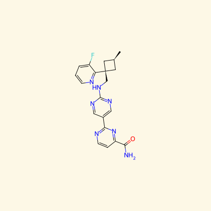 C[C@H]1C[C@](CNc2ncc(-c3nccc(C(N)=O)n3)cn2)(c2ncccc2F)C1